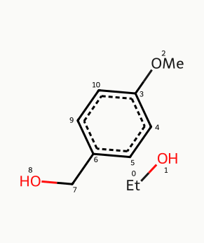 CCO.COc1ccc(CO)cc1